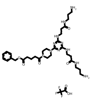 NCCCNC(=O)CCNc1nc(NCCC(=O)NCCCN)nc(N2CCN(C(=O)CCCC(=O)OCc3ccccc3)CC2)n1.O=C(O)C(F)(F)F